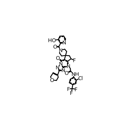 O=C(Cn1c2c(c(=O)n3nc(C4=CCOCC4)nc13)C1(CCN(C(=O)c3ncccc3O)CC1)CC2F)Nc1ccc(C(F)(F)F)cc1Cl